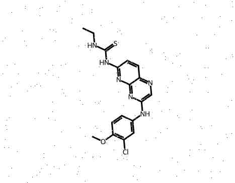 CCNC(=S)Nc1ccc2ncc(Nc3ccc(OC)c(Cl)c3)nc2n1